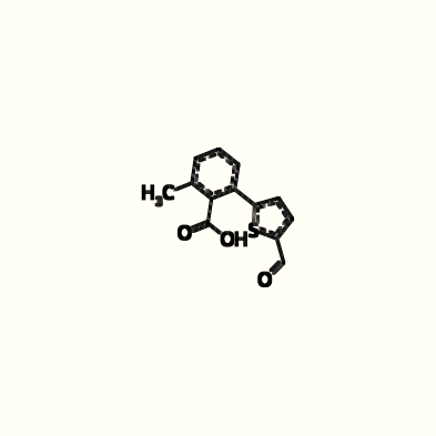 Cc1cccc(-c2ccc(C=O)s2)c1C(=O)O